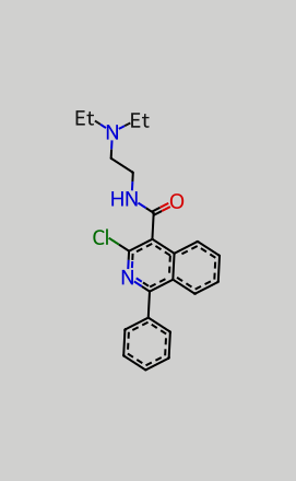 CCN(CC)CCNC(=O)c1c(Cl)nc(-c2ccccc2)c2ccccc12